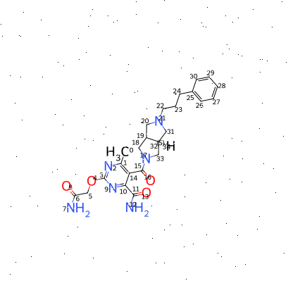 Cc1nc(OCC(N)=O)nc(C(N)=O)c1C(=O)N1CC2CN(CC[CH]c3ccccc3)C[C@H]2C1